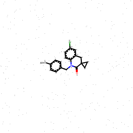 COc1ccc(CN2C(=O)C3(CC3)Cc3cc(Br)ccc32)cc1